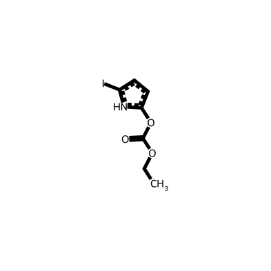 CCOC(=O)Oc1ccc(I)[nH]1